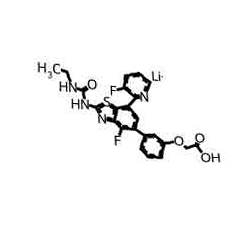 CCNC(=O)Nc1nc2c(F)c(-c3cccc(OCC(=O)O)c3)cc(-c3ncccc3F)c2s1.[Li]